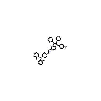 Cc1ccccc1N(c1ccc(/C=C/c2ccc3c(c2)c(-c2ccccc2)c(-c2ccccc2)n3-c2ccc(F)cc2)cc1)c1ccccc1C